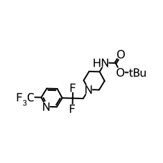 CC(C)(C)OC(=O)NC1CCN(CC(F)(F)c2ccc(C(F)(F)F)nc2)CC1